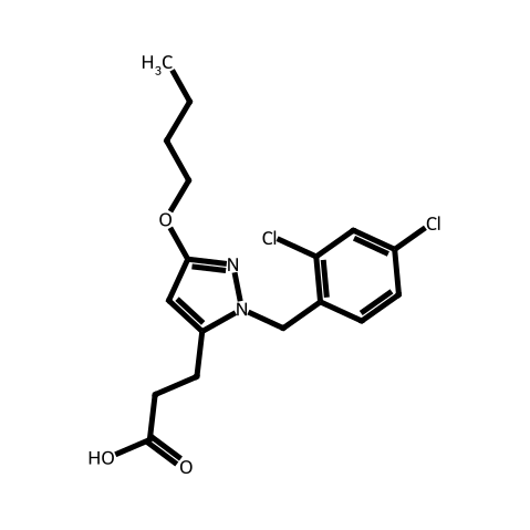 CCCCOc1cc(CCC(=O)O)n(Cc2ccc(Cl)cc2Cl)n1